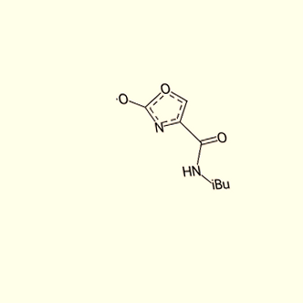 CCC(C)NC(=O)c1coc([O])n1